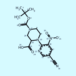 CC(C)(C)OC(=O)N1CCN(c2ncc(C#N)cc2[N+](=O)[O-])C(C(=O)O)C1